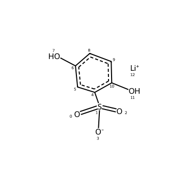 O=S(=O)([O-])c1cc(O)ccc1O.[Li+]